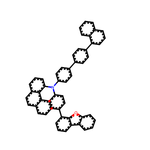 c1ccc2c(-c3ccc(-c4ccc(N(c5ccc(-c6cccc7c6oc6ccccc67)cc5)c5cccc6ccc7ccccc7c56)cc4)cc3)cccc2c1